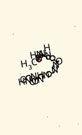 C[C@@]12Cc3[nH]nc(-c4cc5cc(C(=O)N6CCN(CC7CCN(c8ccc(C(=O)N[C@H]9CCC(=O)NC9=O)nc8)CC7)CC6)ccc5[nH]4)c3C(C1)C2(F)F